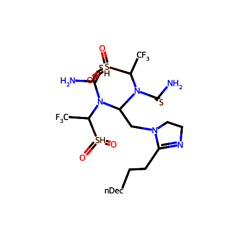 CCCCCCCCCCCCC1=NCCN1CC(N(C(N)=S)C([SH](=O)=O)C(F)(F)F)N(C(N)=S)C([SH](=O)=O)C(F)(F)F